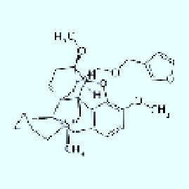 COc1ccc2c3c1O[C@H]1[C@@]4(OC)CC[C@@]5(C[C@@H]4COCc4ccoc4)[C@@H](C2)[N@@+](C)(CC2CC2)CC[C@]315